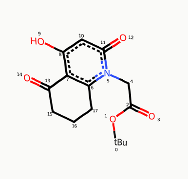 CC(C)(C)OC(=O)Cn1c2c(c(O)cc1=O)C(=O)CCC2